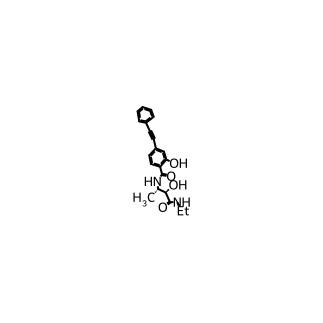 CCNC(=O)[C@H](O)[C@H](C)NC(=O)c1ccc(C#Cc2ccccc2)cc1O